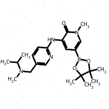 CC(C)N(C)Cc1ccc(Nc2cc(B3OC(C)(C)C(C)(C)O3)cn(C)c2=O)nc1